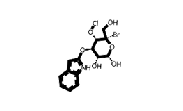 OC[C@@]1(Br)O[C@H](O)[C@H](O)[C@@H](Oc2cc3ccccc3[nH]2)[C@@H]1OCl